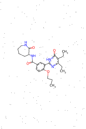 CCCOc1ccc(C(=O)NC2CCCCNC2=O)cc1-c1nc(CC)c(CC)c(=O)[nH]1